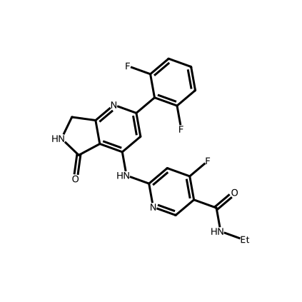 CCNC(=O)c1cnc(Nc2cc(-c3c(F)cccc3F)nc3c2C(=O)NC3)cc1F